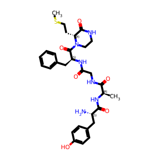 CSCC[C@@H]1C(=O)NCCN1C(=O)[C@H](Cc1ccccc1)NC(=O)CNC(=O)[C@@H](C)NC(=O)[C@@H](N)Cc1ccc(O)cc1